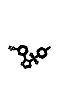 Cc1ccc(S(=O)(=O)C2N=COC2c2cccc(C(F)(F)F)c2)cc1